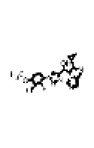 COc1ccc(-n2cc(C(O)c3c(C4CC4)ncc4cncn34)nn2)c(F)c1Cl